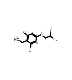 OCc1c(F)cc(OCC(F)F)cc1F